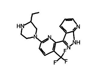 CCC1CN(c2ccc(C(F)(F)F)c(-c3n[nH]c4ncccc34)n2)CCN1